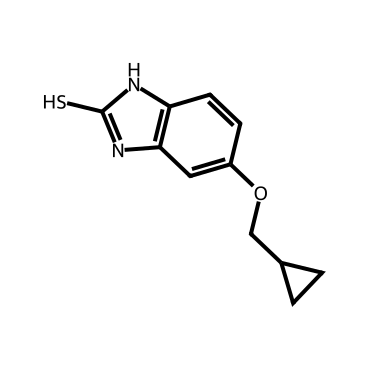 Sc1nc2cc(OCC3CC3)ccc2[nH]1